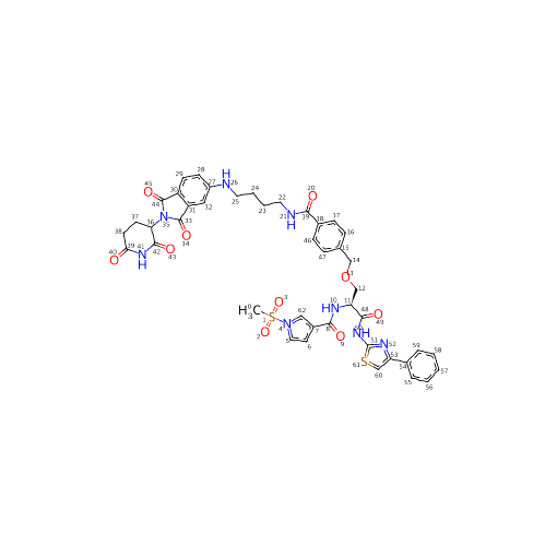 CS(=O)(=O)n1ccc(C(=O)N[C@@H](COCc2ccc(C(=O)NCCCCNc3ccc4c(c3)C(=O)N(C3CCC(=O)NC3=O)C4=O)cc2)C(=O)Nc2nc(-c3ccccc3)cs2)c1